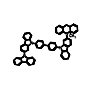 CC12C=CC=CC1Cc1ccccc1N2c1ccc2c3c(n(-c4ccc(-c5ccc(-n6c7ccccc7c7ccc(-n8c9ccccc9c9ccccc98)cc76)cc5)cc4)c2c1)C=CCC3